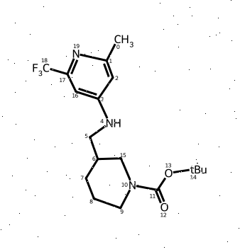 Cc1cc(NCC2CCCN(C(=O)OC(C)(C)C)C2)cc(C(F)(F)F)n1